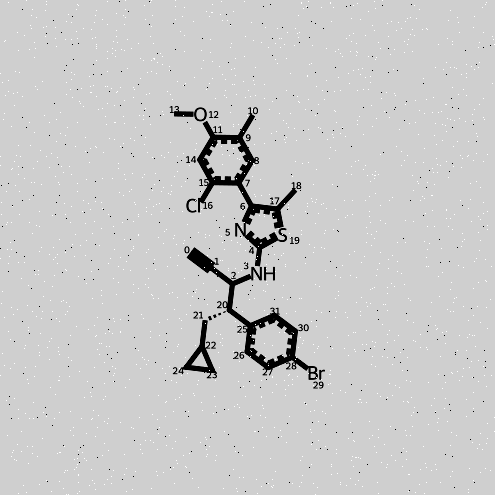 C#CC(Nc1nc(-c2cc(C)c(OC)cc2Cl)c(C)s1)[C@@H](CC1CC1)c1ccc(Br)cc1